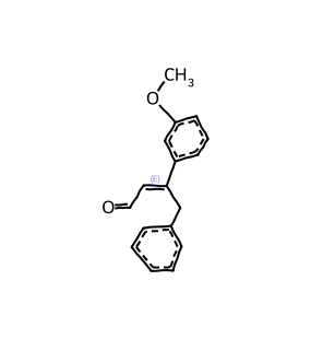 COc1cccc(/C(=C/C=O)Cc2ccccc2)c1